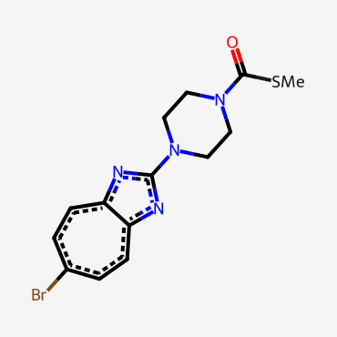 CSC(=O)N1CCN(c2nc3ccc(Br)ccc-3n2)CC1